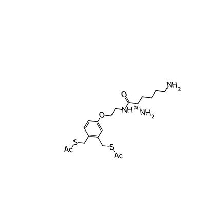 CC(=O)SCc1ccc(OCCNC(=O)[C@@H](N)CCCCN)cc1CSC(C)=O